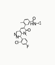 Cc1ccc(C(=O)NC2CC2)cc1-c1cc2cnnc(-c3ccc(F)cc3Cl)c2n(C)c1=O